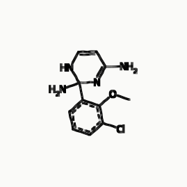 COc1c(Cl)cccc1C1(N)N=C(N)C=CN1